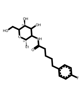 CC[C@@H]1OC(CO)[C@@H](O)C(O)C1NC(=O)CCCCc1ccc(F)cc1